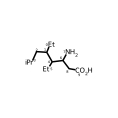 CCC(CC(C)C)C(CC)C(N)CC(=O)O